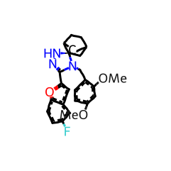 COc1ccc(CN2C(c3cc4cc(F)ccc4o3)=NN[C@@]23CC2CCC3CC2)c(OC)c1